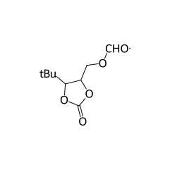 CC(C)(C)C1OC(=O)OC1CO[C]=O